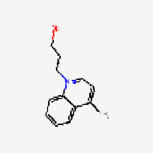 Cc1cc[n+](CCCO)c2ccccc12